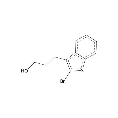 OCCCc1c(Br)sc2ccccc12